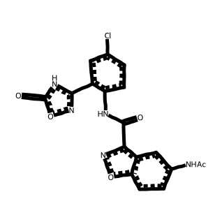 CC(=O)Nc1ccc2onc(C(=O)Nc3ccc(Cl)cc3-c3noc(=O)[nH]3)c2c1